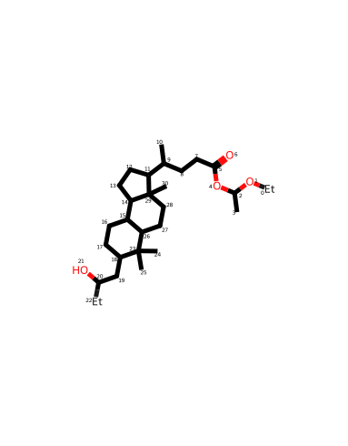 CCOC(C)OC(=O)CCC(C)C1CCC2C3CCC(CC(O)CC)C(C)(C)C3CCC12C